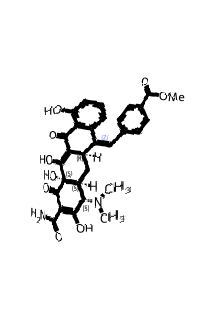 COC(=O)c1ccc(/C=C2\c3cccc(O)c3C(=O)C3=C(O)[C@]4(O)C(=O)C(C(N)=O)=C(O)[C@@H](N(C)C)[C@@H]4C[C@@H]32)cc1